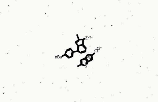 CC1=C2c3sc(C)cc3C1[Si]2(C)C.CCCCc1ccc(-c2cccc3c2C=C(C)[CH]3[Zr+2])cc1.[Cl-].[Cl-]